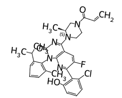 C=CC(=O)N1CCN(c2nc(=O)n(-c3c(C)cccc3C(C)C)c3nc(-c4c(O)cccc4Cl)c(F)cc23)[C@@H](C)C1